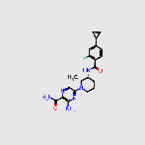 C[C@@H]1[C@H](NC(=O)c2ccc(C3CC3)cc2F)CCCN1c1cnc(C(N)=O)c(N)n1